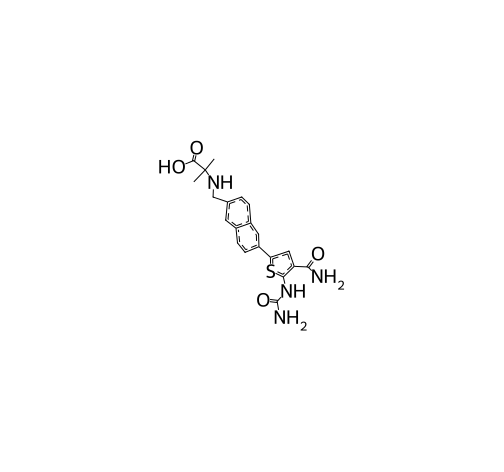 CC(C)(NCc1ccc2cc(-c3cc(C(N)=O)c(NC(N)=O)s3)ccc2c1)C(=O)O